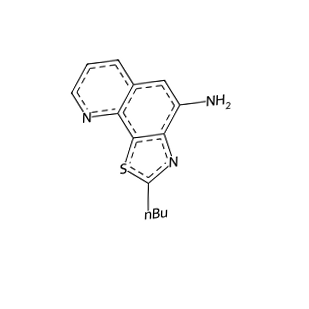 CCCCc1nc2c(N)cc3cccnc3c2s1